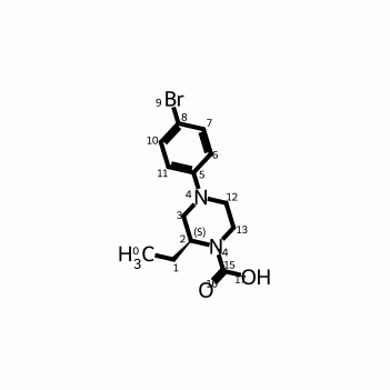 CC[C@H]1CN(c2ccc(Br)cc2)CCN1C(=O)O